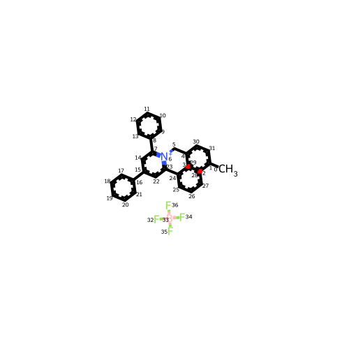 Cc1ccc(C[n+]2c(-c3ccccc3)cc(-c3ccccc3)cc2-c2ccccc2)cc1.F[B-](F)(F)F